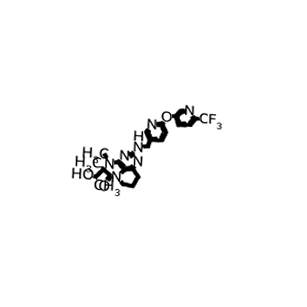 C[C@H](O)[C@@]1(C)C(=O)N2CCCc3nc(NCc4ccc(Oc5ccc(C(F)(F)F)nc5)nc4)nc(c32)N1C